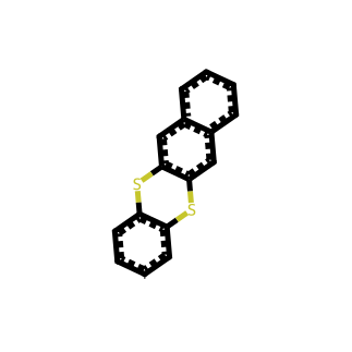 [c]1ccc2c(c1)Sc1cc3ccccc3cc1S2